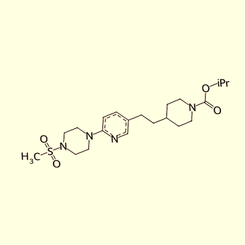 CC(C)OC(=O)N1CCC(CCc2ccc(N3CCN(S(C)(=O)=O)CC3)nc2)CC1